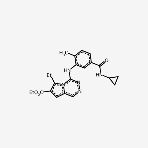 CCOC(=O)c1cc2cnnc(Nc3cc(C(=O)NC4CC4)ccc3C)n2c1CC